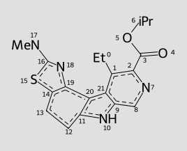 CCc1c(C(=O)OC(C)C)ncc2[nH]c3ccc4sc(NC)nc4c3c12